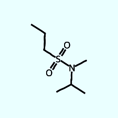 CCCS(=O)(=O)N(C)C(C)C